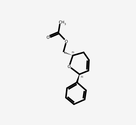 CC(=O)OC[C@@H]1CC=C[C@@H](c2ccccc2)O1